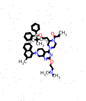 C=CC(=O)N1CCN(c2nc(OCCN(C)C)nc3c2CCN(c2cc(C)cc4ccccc24)C3)CC1CCO[Si](c1ccccc1)(c1ccccc1)C(C)(C)C